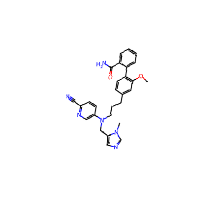 COc1cc(CCCN(Cc2cncn2C)c2ccc(C#N)nc2)ccc1-c1ccccc1C(N)=O